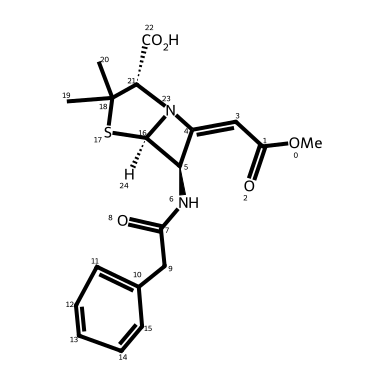 COC(=O)C=C1[C@@H](NC(=O)Cc2ccccc2)[C@H]2SC(C)(C)[C@H](C(=O)O)N12